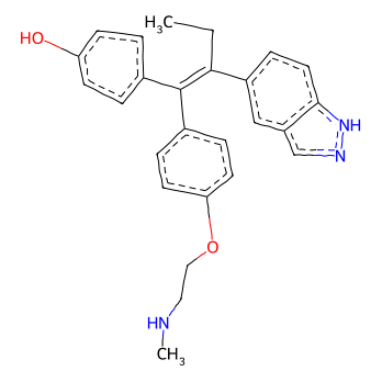 CCC(=C(c1ccc(O)cc1)c1ccc(OCCNC)cc1)c1ccc2[nH]ncc2c1